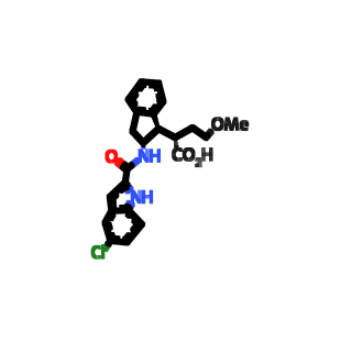 COCC[C@H](C(=O)O)[C@@H]1c2ccccc2C[C@H]1NC(=O)c1cc2cc(Cl)ccc2[nH]1